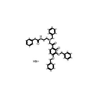 Br.O=C(Cc1ccccc1)NCCN(CC(=O)c1ccc(OCc2ccccc2)c(OCc2ccccc2)c1Cl)Cc1ccccc1